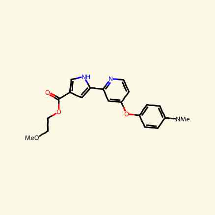 CNc1ccc(Oc2ccnc(-c3cc(C(=O)OCCOC)c[nH]3)c2)cc1